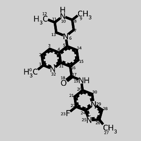 Cc1ccc2c(N3CC(C)NC(C)C3)ccc(C(=O)Nc3cc(F)c4nc(C)cn4c3)c2n1